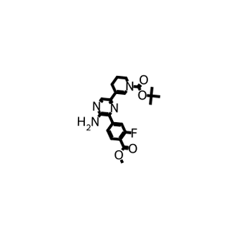 COC(=O)c1ccc(-c2nc(C3=CN(C(=O)OC(C)(C)C)CCC3)cnc2N)cc1F